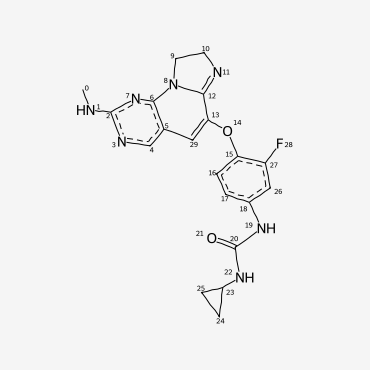 CNc1ncc2c(n1)N1CCN=C1C(Oc1ccc(NC(=O)NC3CC3)cc1F)=C2